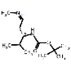 C/N=C\C[C@H](NC(=O)OC(C)(C)C)C(C)C